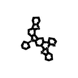 c1ccc(-n2c3cc4c(cc3c3c5sc6ccccc6c5ccc32)c2cccnc2n2c3ccccc3nc42)cc1